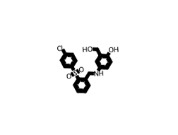 O=S(=O)(c1ccc(Cl)cc1)c1ccccc1CNc1ccc(O)c(CO)c1